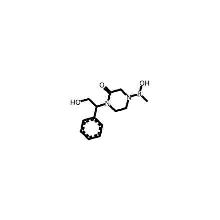 CB(O)N1CCN(C(CO)c2ccccc2)C(=O)C1